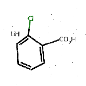 O=C(O)c1ccccc1Cl.[LiH]